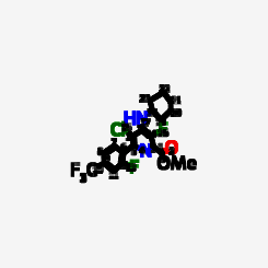 COC(=O)c1nc(-c2ccc(C(F)(F)F)cc2F)c(Cl)c(NC2CCCCC2)c1F